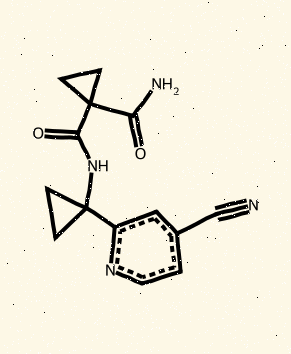 N#Cc1ccnc(C2(NC(=O)C3(C(N)=O)CC3)CC2)c1